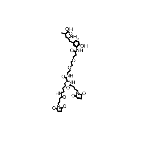 CC(C[C@@H](N)Cc1ccc(O)c(NC(=O)CCOCCOCCNC(=O)[C@H](CCCCNC(=O)CCCN2C(=O)C=CC2=O)NC(=O)CCCN2C(=O)C=CC2=O)c1)C(=O)O